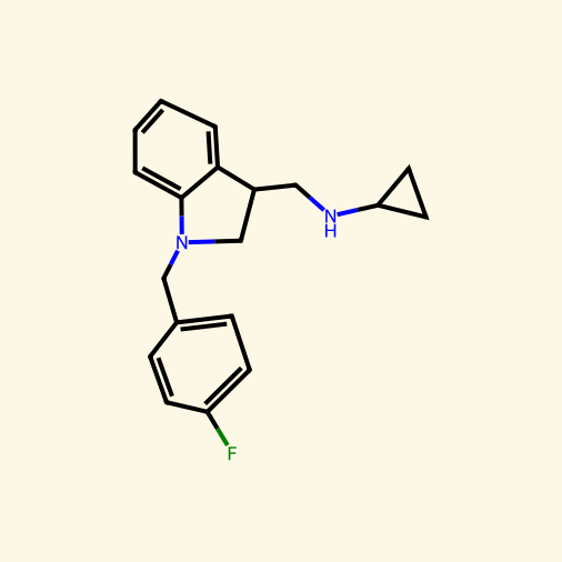 Fc1ccc(CN2CC(CNC3CC3)c3ccccc32)cc1